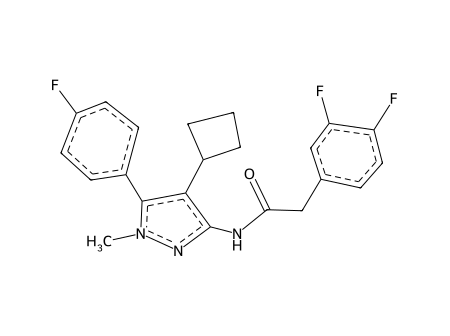 Cn1nc(NC(=O)Cc2ccc(F)c(F)c2)c(C2CCC2)c1-c1ccc(F)cc1